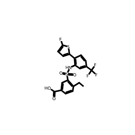 CCc1ccc(C(=O)O)cc1S(=O)(=O)Nc1cc(C(F)(F)F)ccc1-c1ccc(F)s1